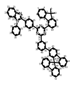 CC1(C)c2ccccc2-c2c(-c3nc(-c4ccc(-c5nc6ccccc6n5-c5ccccc5)cc4)nc(-c4cccc(-c5ccc6c(c5)C5(c7ccccc7-c7ccccc75)c5ccccc5-6)c4)n3)cccc21